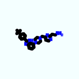 CC(C)(C)c1ccc(-c2nc3cccc(N4CCN(Cc5ccnc(CCN)n5)CC4)c3[nH]2)cc1